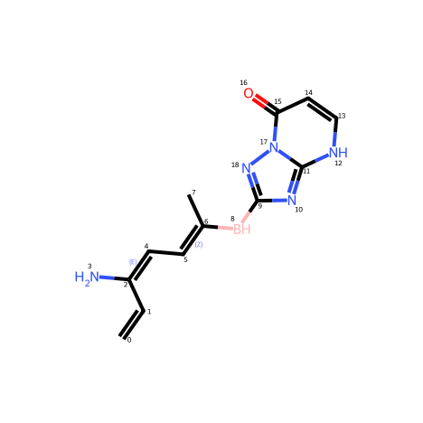 C=C/C(N)=C\C=C(/C)Bc1nc2[nH]ccc(=O)n2n1